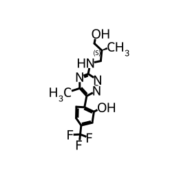 Cc1nc(NC[C@H](C)CO)nnc1-c1ccc(C(F)(F)F)cc1O